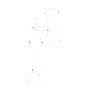 Cc1ccc(S(=O)(=O)Nc2ccc(SCc3ccccc3Cl)cc2[AsH]S(C)(=O)=O)cc1